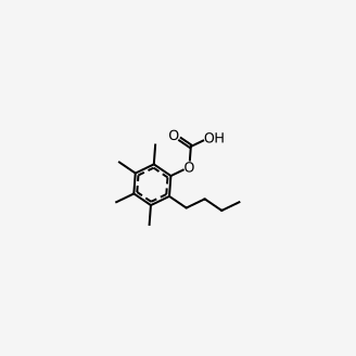 CCCCc1c(C)c(C)c(C)c(C)c1OC(=O)O